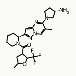 Cc1cn2nc([C@@H]3CCCCN3C(=O)C3CC(C)OC3C(F)(F)F)cc2nc1N1CC[C@H](N)C1